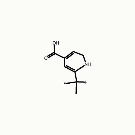 CC(F)(F)C1=CC(C(=O)O)=CCN1